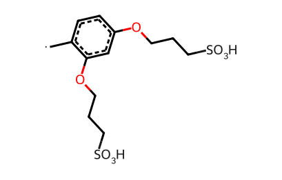 [CH2]c1ccc(OCCCS(=O)(=O)O)cc1OCCCS(=O)(=O)O